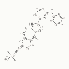 CN1C(=O)[C@H](NC(=O)c2cc(Oc3ccccc3)ccn2)COc2cc(C#CC(C)(C)O)ccc21